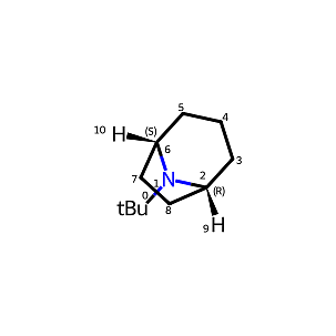 CC(C)(C)N1[C@@H]2CCC[C@H]1CC2